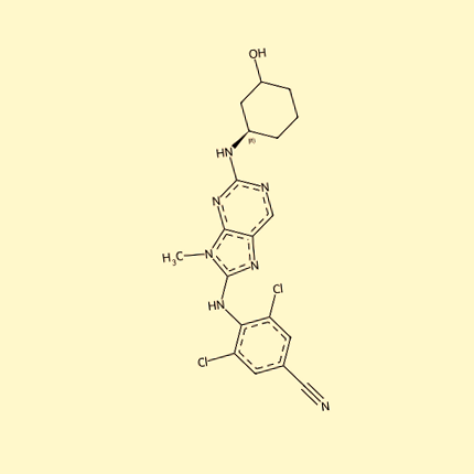 Cn1c(Nc2c(Cl)cc(C#N)cc2Cl)nc2cnc(N[C@@H]3CCCC(O)C3)nc21